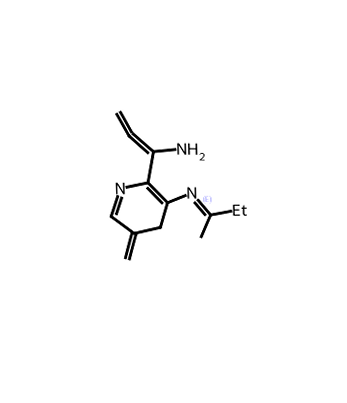 C=C=C(N)C1=C(/N=C(\C)CC)CC(=C)C=N1